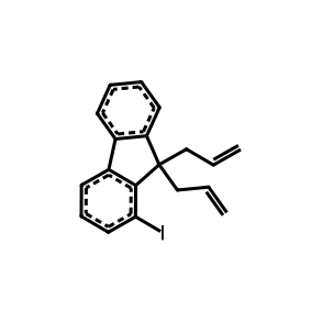 C=CCC1(CC=C)c2ccccc2-c2cccc(I)c21